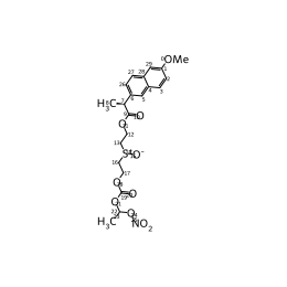 COc1ccc2cc([C@H](C)C(=O)OCC[S+]([O-])CCOC(=O)OC(C)O[N+](=O)[O-])ccc2c1